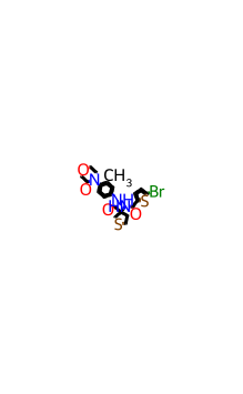 Cc1cc(NC(=O)C2(NC(=O)c3ccc(Br)s3)CCSC2)ccc1N1CCOCC1=O